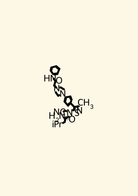 Cc1nsc(N(CC#N)C(=O)[C@@H](N)CC(C)C)c1-c1ccc(N2CCN(CC(=O)Nc3ccccc3)CC2)cc1